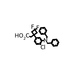 O=C(O)CC1(c2ccc(Cl)c(N(Cc3ccccc3)Cc3ccccc3)c2)CC(F)(F)C1